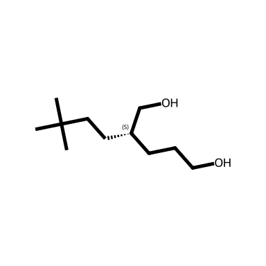 CC(C)(C)CC[C@H](CO)CCCO